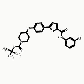 CC(C)(C)OC(=O)N1CCC(Oc2ccc(-c3ccc(C(=O)Nc4cccc(Cl)c4)o3)cc2)CC1